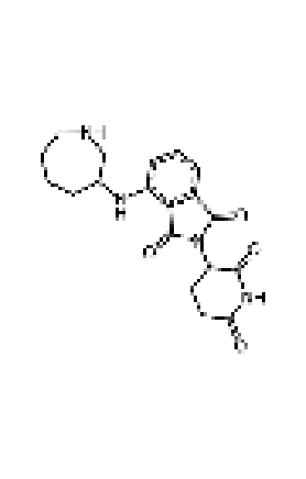 O=C1CCC(N2C(=O)c3cccc(NC4CCCCNC4)c3C2=O)C(=O)N1